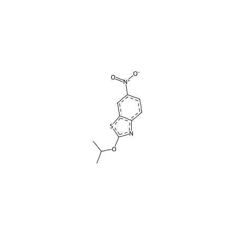 CC(C)Oc1nc2ccc([N+](=O)[O-])cc2s1